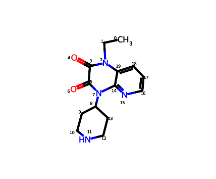 CCn1c(=O)c(=O)n(C2CCNCC2)c2ncccc21